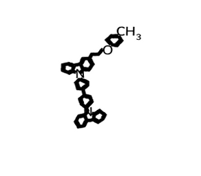 Cc1ccc(OCCCc2ccc3c(c2)c2ccccc2n3-c2ccc(-c3ccc(-n4c5ccccc5c5ccccc54)cc3)cc2)cc1